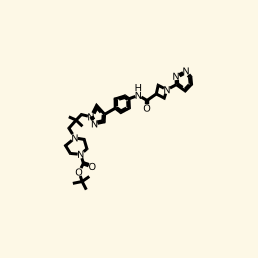 CC(C)(CN1CCN(C(=O)OC(C)(C)C)CC1)Cn1cc(-c2ccc(NC(=O)C3CN(c4cccnn4)C3)cc2)cn1